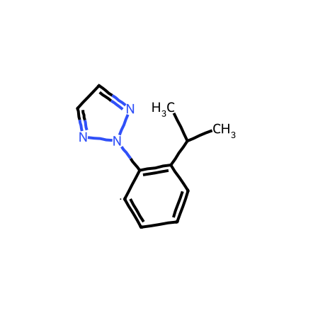 CC(C)c1ccc[c]c1-n1nccn1